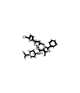 Cc1nc(-c2ccccc2)n(Cc2cc(-c3ccc(Cl)s3)on2)c1C(=O)NC1CCN(C(C)C)CC1